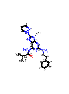 CCCn1c(-n2cccn2)nc2c(NC(=O)C(CC)CC)nc(NCCc3ccccc3)nc21